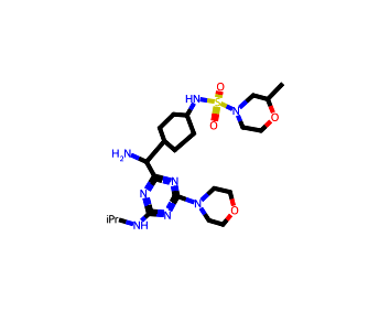 CC(C)Nc1nc(C(N)C2CCC(NS(=O)(=O)N3CCOC(C)C3)CC2)nc(N2CCOCC2)n1